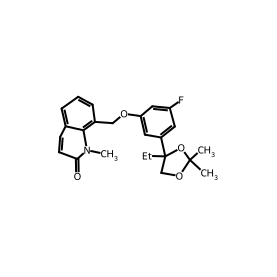 CCC1(c2cc(F)cc(OCc3cccc4ccc(=O)n(C)c34)c2)COC(C)(C)O1